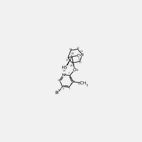 Cc1cc(Br)cnc1O[C@@]1(S)CN2CCC1CC2